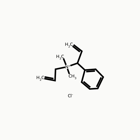 C=CC[N+](C)(C)C(C=C)c1ccccc1.[Cl-]